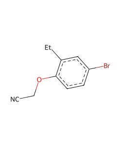 CCc1cc(Br)ccc1OCC#N